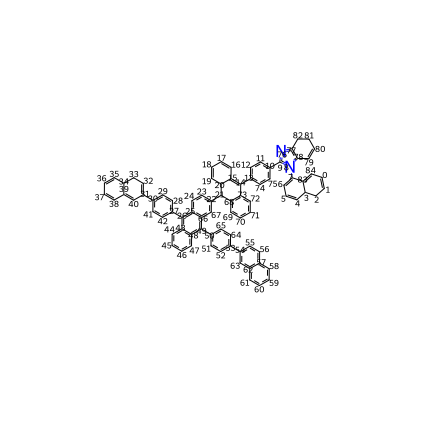 C1=CCC2C=CC=C(n3c(-c4ccc(C5=C6C=CC=CC6C(c6ccc7c(-c8ccc(C9=CCC%10C=CC=CC%10=C9)cc8)c8ccccc8c(-c8ccc(-c9ccc%10ccccc%10c9)cc8)c7c6)c6ccccc65)cc4)nc4c3C=CCC4)C2=C1